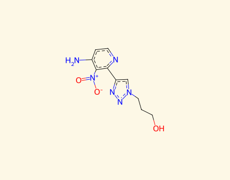 Nc1ccnc(-c2cn(CCCO)nn2)c1[N+](=O)[O-]